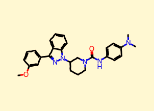 COc1cccc(-c2nn(C3CCCN(C(=O)Nc4ccc(N(C)C)cc4)C3)c3ccccc23)c1